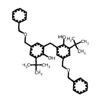 CC(C)(C)c1cc(COCc2ccccc2)cc(Cc2cc(COCc3ccccc3)cc(C(C)(C)C)c2O)c1O